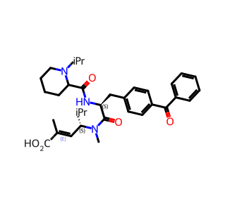 C/C(=C\[C@H](C(C)C)N(C)C(=O)[C@H](Cc1ccc(C(=O)c2ccccc2)cc1)NC(=O)C1CCCCN1C(C)C)C(=O)O